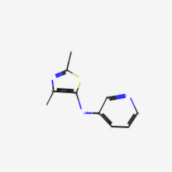 CCc1nc(C(=O)O)c(Nc2cccnc2)s1